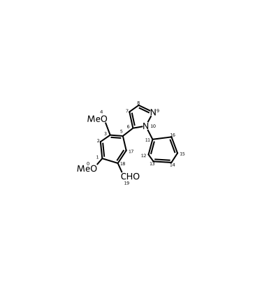 COc1cc(OC)c(-c2ccnn2-c2ccccc2)cc1C=O